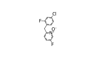 [O-][n+]1cc(F)ccc1Cc1ccc(Cl)cc1F